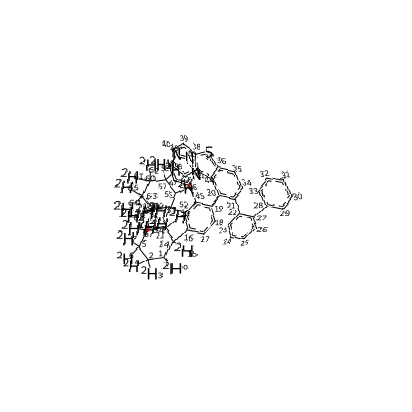 [2H]C1C([2H])([2H])C([2H])([2H])C([2H])([2H])C([2H])([2H])C1([2H])c1ccc(-c2c(-c3ccccc3-c3ccccc3)ccc3sc4ccccc4c23)c(-c2ccnnn2)c1C1([2H])C([2H])C([2H])([2H])C([2H])([2H])C([2H])([2H])C1([2H])[2H]